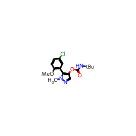 COc1ccc(Cl)cc1-c1c(OC(=O)NC(C)(C)C)cnn1C